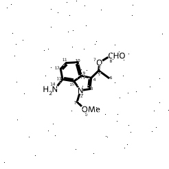 COCn1cc(C(C)OC=O)c2cccc(N)c21